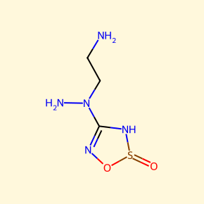 NCCN(N)C1=NOS(=O)N1